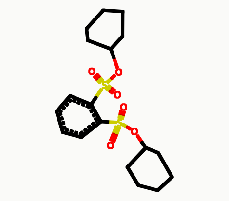 O=S(=O)(OC1CCCCC1)c1ccccc1S(=O)(=O)OC1CCCCC1